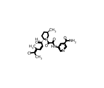 C=C(/C=C\C(C)=C(/C)Cl)[C@@H]1CC[C@@H](C)CN1C(=O)C(=O)Nc1cncc(C(N)=O)c1